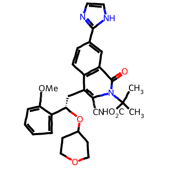 COc1ccccc1[C@H](Cc1c(C#N)n(C(C)(C)C(=O)O)c(=O)c2cc(-c3ncc[nH]3)ccc12)OC1CCOCC1